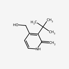 C=C1NC=CC(CO)=C1C(C)(C)C